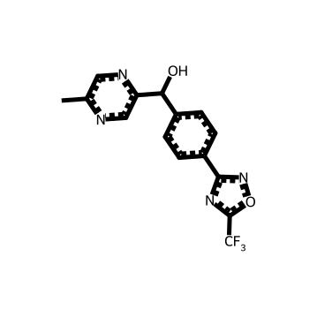 Cc1cnc(C(O)c2ccc(-c3noc(C(F)(F)F)n3)cc2)cn1